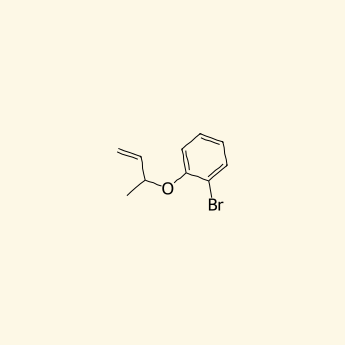 C=CC(C)Oc1ccccc1Br